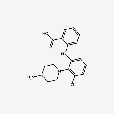 NC1CCN(c2c(Cl)cccc2Nc2ccccc2C(=O)O)CC1